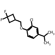 CC(C)c1ccc(OCC2CC(F)(F)C2)c(Cl)c1